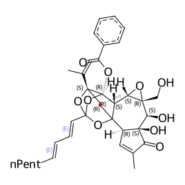 C=C(C)[C@@]12OC3(/C=C/C=C/CCCCC)O[C@@H]1[C@@H]1[C@@H]4O[C@]4(CO)[C@@H](O)[C@]4(O)C(=O)C(C)=C[C@H]4C1(O3)[C@H](C)[C@H]2OC(=O)c1ccccc1